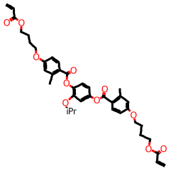 C=CC(=O)OCCCCOc1ccc(C(=O)Oc2ccc(OC(=O)c3ccc(OCCCCOC(=O)C=C)cc3C)c(OC(C)C)c2)c(C)c1